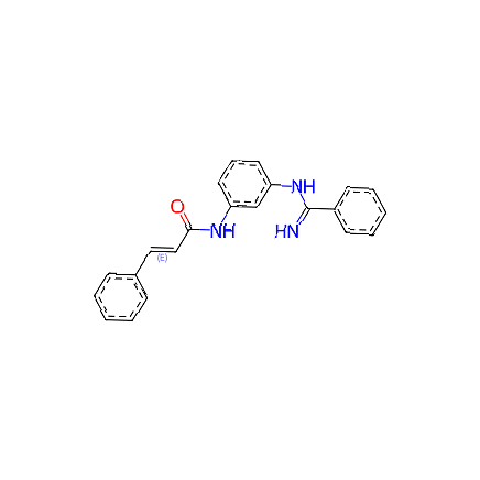 N=C(Nc1cccc(NC(=O)/C=C/c2ccccc2)c1)c1ccccc1